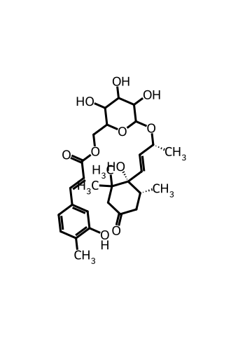 Cc1ccc(/C=C/C(=O)OCC2OC(O[C@H](C)/C=C/[C@@]3(O)[C@H](C)CC(=O)CC3(C)C)C(O)C(O)C2O)cc1O